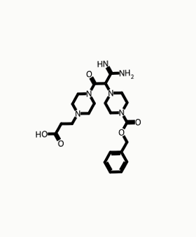 N=C(N)C(C(=O)N1CCN(CCC(=O)O)CC1)N1CCN(C(=O)OCc2ccccc2)CC1